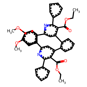 CCOC(=O)c1c(-c2ccccc2-c2cc(-c3ccc(OC)cc3)nc(-c3ccccc3)c2C(=O)OCC)cc(-c2ccc(OC)cc2)nc1-c1ccccc1